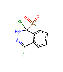 O=S(=O)(Cl)C1(Cl)NN=C(Cl)c2ccccc21